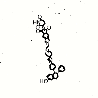 O=C1CCC(N2C(=O)c3cc4c(cc3C2=O)CN(CCN2CCC3(CC2)CN(c2ccc([C@@H]5c6ccc(O)cc6CC[C@@H]5c5ccccc5)cc2)C3)C4)C(=O)N1